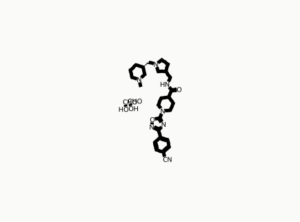 CN1CCC[C@H](CN2CCC(CNC(=O)C3CCN(c4nc(-c5ccc(C#N)cc5)no4)CC3)C2)C1.O=CO.O=CO